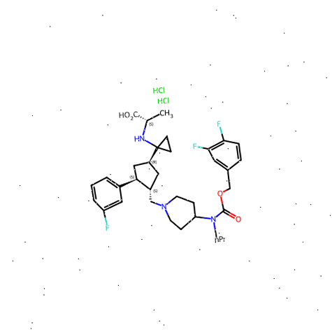 CCCN(C(=O)OCc1ccc(F)c(F)c1)C1CCN(C[C@H]2C[C@H](C3(N[C@@H](C)C(=O)O)CC3)C[C@@H]2c2cccc(F)c2)CC1.Cl.Cl